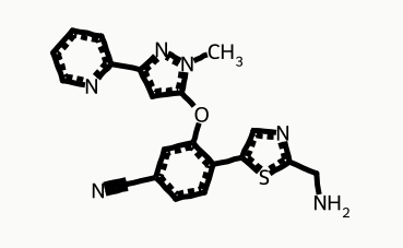 Cn1nc(-c2ccccn2)cc1Oc1cc(C#N)ccc1-c1cnc(CN)s1